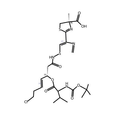 C=N/C(=C\SNC(=O)C[C@@H](/C=C/CCCl)OC(=O)C(NC(=O)OC(C)(C)C)C(C)C)C1=N[C@](C)(C(=O)O)CS1